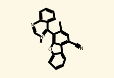 Cc1cc(C#N)c2c(oc3ccccc32)c1-c1c2ccccc2nc[n+]1C